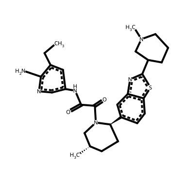 CCc1cc(NC(=O)C(=O)N2C[C@@H](C)CC[C@@H]2c2ccc3sc(C4CCCN(C)C4)nc3c2)cnc1N